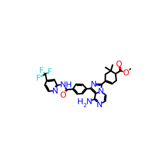 COC(=O)C1CC=C(c2nc(-c3ccc(C(=O)Nc4cc(C(F)(F)F)ccn4)cc3)c3c(N)nccn23)CC1(C)C